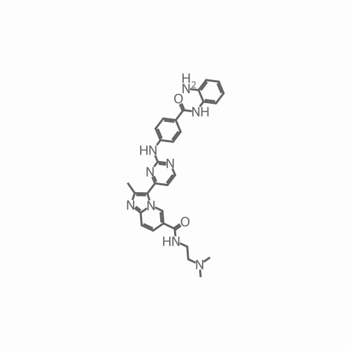 Cc1nc2ccc(C(=O)NCCN(C)C)cn2c1-c1ccnc(Nc2ccc(C(=O)Nc3ccccc3N)cc2)n1